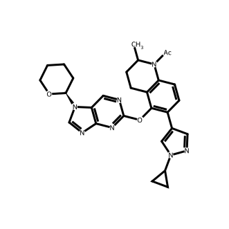 CC(=O)N1c2ccc(-c3cnn(C4CC4)c3)c(Oc3ncc4c(ncn4[C@@H]4CCCCO4)n3)c2CCC1C